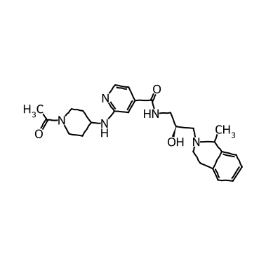 CC(=O)N1CCC(Nc2cc(C(=O)NC[C@H](O)CN3CCc4ccccc4C3C)ccn2)CC1